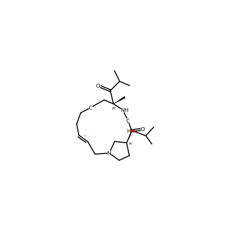 CC(C)N[C@@]12CCN(C/C=C/CCCC[C@](C)(C(=O)C(C)C)NCC1=O)C2